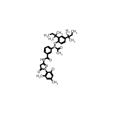 CCC(C)(C)c1ccc(ON(C(C)=O)c2cccc(C(=O)NC3=NN(c4c(C)cc(C)cc4Cl)C(=O)C3)c2)c(C(C)(C)CC)c1